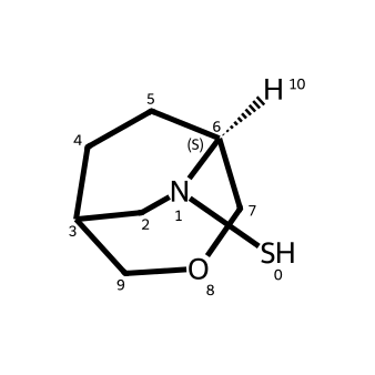 SN1CC2CC[C@H]1COC2